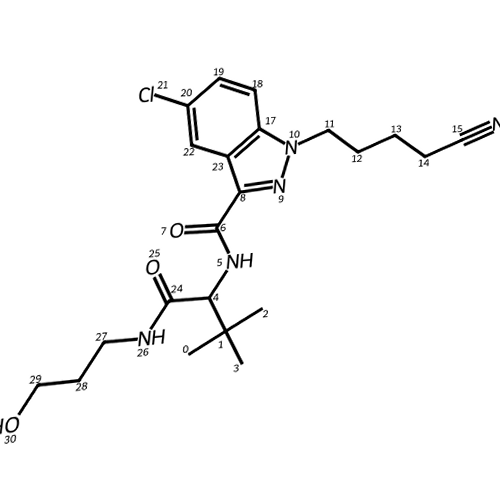 CC(C)(C)C(NC(=O)c1nn(CCCCC#N)c2ccc(Cl)cc12)C(=O)NCCCO